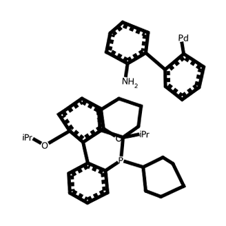 CC(C)Oc1cccc(OC(C)C)c1-c1ccccc1P(C1CCCCC1)C1CCCCC1.Nc1ccccc1-c1cccc[c]1[Pd]